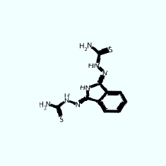 NC(=S)NN=C1NC(=NNC(N)=S)c2ccccc21